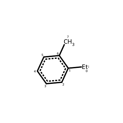 C[C]c1ccccc1C